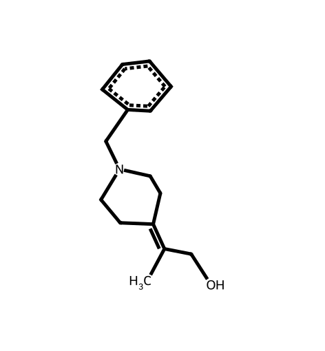 CC(CO)=C1CCN(Cc2ccccc2)CC1